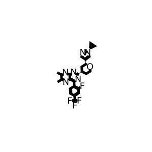 Cc1nc2nc([C@H]3CCO[C@@H](c4cnn(C5CC5)c4)C3)nc(-c3ccc(C(F)(F)F)cc3F)c2nc1C